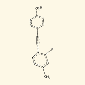 Cc1ccc(C#Cc2ccc(C(=O)O)cc2)c(F)c1